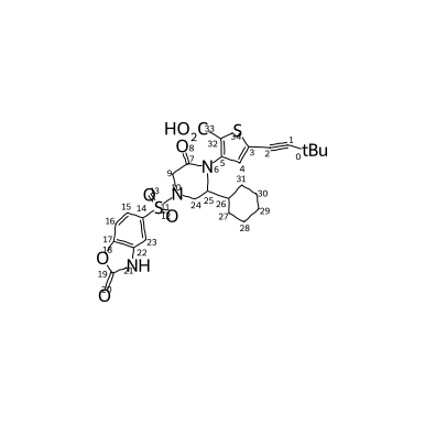 CC(C)(C)C#Cc1cc(N2C(=O)CN(S(=O)(=O)c3ccc4oc(=O)[nH]c4c3)CC2C2CCCCC2)c(C(=O)O)s1